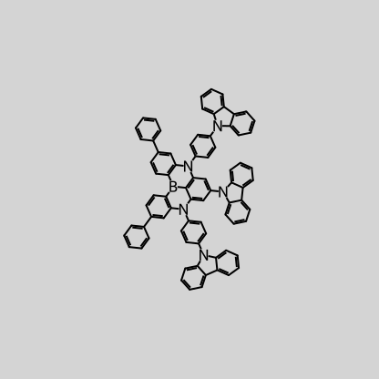 c1ccc(-c2ccc3c(c2)N(c2ccc(-n4c5ccccc5c5ccccc54)cc2)c2cc(-n4c5ccccc5c5ccccc54)cc4c2B3c2ccc(-c3ccccc3)cc2N4c2ccc(-n3c4ccccc4c4ccccc43)cc2)cc1